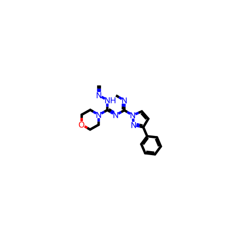 C=NN/C(=N\C(=N/C)n1ccc(-c2ccccc2)n1)N1CCOCC1